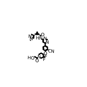 Cn1cc([C@@H]2C[C@H]2C(=O)Nc2cc(-c3ccc(O[C@H]4CCN(C(=O)CO)CC4(F)F)c(C#N)c3)ncn2)cn1